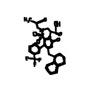 CC(=O)CN1CC(C(=O)O)n2c(c(-c3cccc(C(F)(F)F)c3)c(Cc3cccc4ccccc34)cc2=O)S1(=O)=O